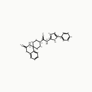 O=C1Cc2ccccc2C2(CCN(C(=O)Nc3ncc(-c4ccccc4)s3)CC2)N1